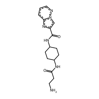 NCCC(=O)NC1CCC(NC(=O)c2cn3ncccc3n2)CC1